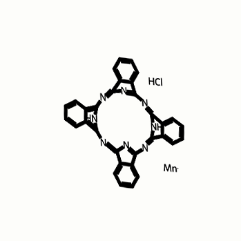 Cl.[Mn].c1ccc2c(c1)-c1nc-2nc2[nH]c(nc3nc(nc4[nH]c(n1)c1ccccc41)-c1ccccc1-3)c1ccccc21